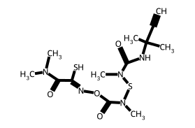 C#CC(C)(C)NC(=O)N(C)SN(C)C(=O)ON=C(S)C(=O)N(C)C